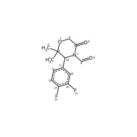 CC1(C)OCC(=O)N([C]=O)C1c1ccc(F)c(F)c1